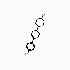 N#CC1CCC(C2CC=C(c3ccc(C(F)(F)F)cc3)CC2)CC1